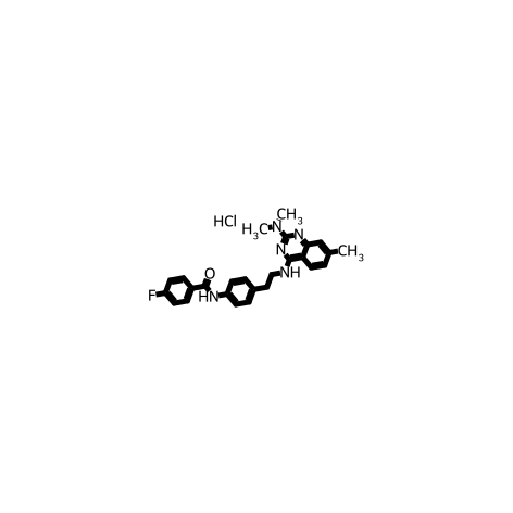 Cc1ccc2c(NCCc3ccc(NC(=O)c4ccc(F)cc4)cc3)nc(N(C)C)nc2c1.Cl